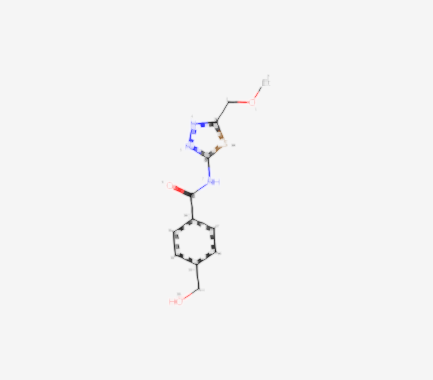 CCOCc1nnc(NC(=O)c2ccc(CO)cc2)s1